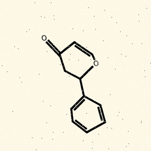 O=C1C=COC(c2ccccc2)C1